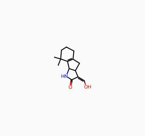 CC1(C)CCCC2=C1C1NC(=O)C(=CO)C1C2